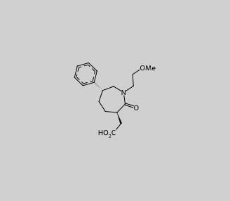 COCCN1C[C@@H](c2ccccc2)CC[C@H](CC(=O)O)C1=O